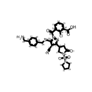 N#Cc1c(C2CC(=O)N(S(=O)(=O)N3CCCC3)C2)nn(C(=O)c2cccc(C(=O)O)c2Cl)c1SCc1ccc(CN)cc1